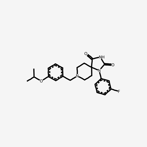 CC(C)Oc1cccc(CN2CCC3(CC2)C(=O)NC(=O)N3c2cccc(F)c2)c1